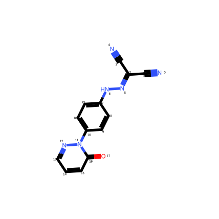 N#CC(C#N)=NNc1ccc(-n2ncccc2=O)cc1